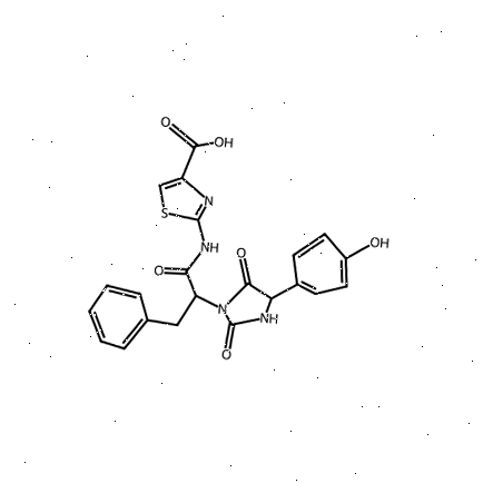 O=C(O)c1csc(NC(=O)C(Cc2ccccc2)N2C(=O)NC(c3ccc(O)cc3)C2=O)n1